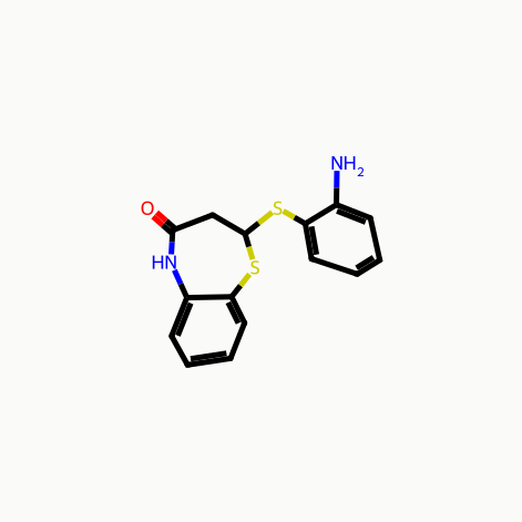 Nc1ccccc1SC1CC(=O)Nc2ccccc2S1